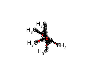 CCCCCCCCCC(=O)Oc1cc(OC(=O)CCCCCCCCC)c2c(c1)OC(c1ccc(OC(=O)CCCCCCCCC)c(OC(=O)CCCCCCCCC)c1)C(OC(=O)CCCCCCCCC)C2